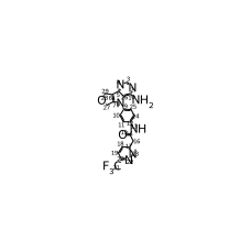 Nc1ncnc2c3c(n(-c4ccc(NC(=O)Cc5ccc(C(F)(F)F)nn5)cc4)c12)COC3